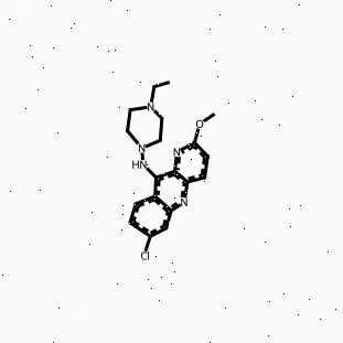 CCN1CCN(Nc2c3ccc(Cl)cc3nc3ccc(OC)nc23)CC1